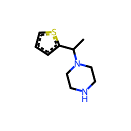 CC(c1cccs1)N1CCNCC1